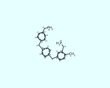 Cc1ccc(Cc2ccc(Cc3ccc(CP)cc3)cc2)cc1CP